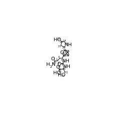 NC(=O)CC[C@H](NC(=O)N[C@@H](CO)C(=O)O)c1nnc([C@@H]2C[C@@H](O)CN2)o1